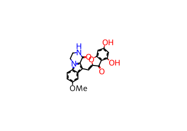 COc1ccc2c(c1)c(/C=C1\Oc3cc(O)cc(O)c3C1=O)c1n2CCNC1=O